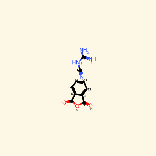 N#CNC(=N)N.O=C1OC(=O)c2ccccc21